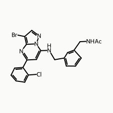 CC(=O)NCc1cccc(CNc2cc(-c3ccccc3Cl)nc3c(Br)cnn23)c1